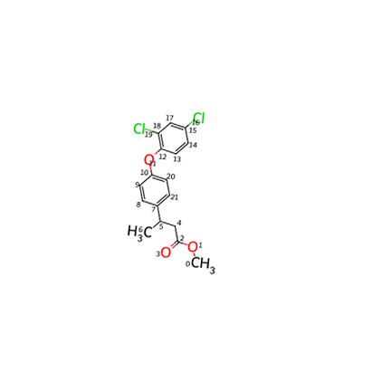 COC(=O)CC(C)c1ccc(Oc2ccc(Cl)cc2Cl)cc1